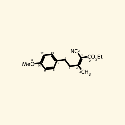 CCOC(=O)C(C#N)=C(C)CCc1ccc(OC)cc1